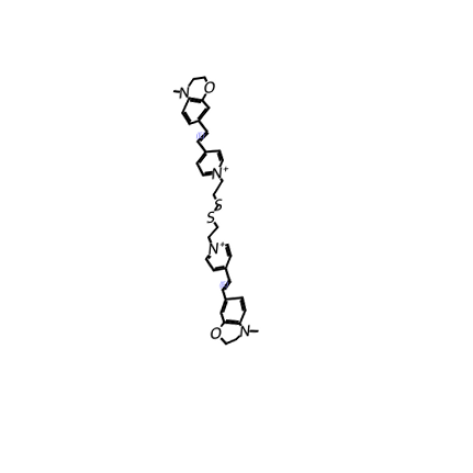 CN1CCOc2cc(/C=C/c3cc[n+](CCSSCC[n+]4ccc(/C=C/c5ccc6c(c5)OCCN6C)cc4)cc3)ccc21